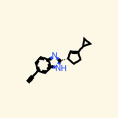 C#Cc1ccc2nc([C@@H]3C=C(C4CC4)CC3)[nH]c2c1